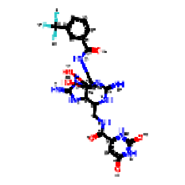 N=C1NC2C(CNC(=O)c3cc(=O)[nH]c(=O)[nH]3)NC(=N)N3CC(NC(=O)c4cccc(C(F)(F)F)c4)C(O)(O)C23N1